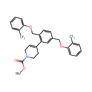 CC(C)(C)OC(=O)N1CC=C(c2cc(COc3ccccc3C(F)(F)F)ccc2COc2ccccc2C(F)(F)F)CC1